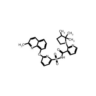 Cc1ccc2cccc(Oc3cccc(S(=O)(=O)NC(=O)c4cccnc4N4CCC(C)C4(C)C)n3)c2n1